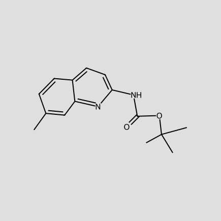 Cc1ccc2ccc(NC(=O)OC(C)(C)C)nc2c1